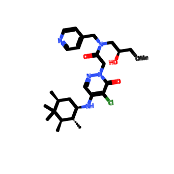 COC[C@@H](O)CN(Cc1ccncc1)C(=O)Cn1ncc(N[C@@H]2C[C@H](C)C(C)(C)[C@H](C)[C@H]2C)c(Cl)c1=O